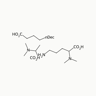 CC(C(=O)O)N(C)C.CCCCCCCCCCCCCC(=O)O.CN(C)C(CCCN)C(=O)O